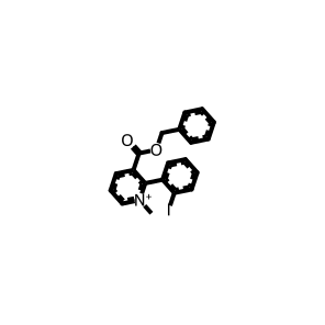 C[n+]1cccc(C(=O)OCc2ccccc2)c1-c1ccccc1I